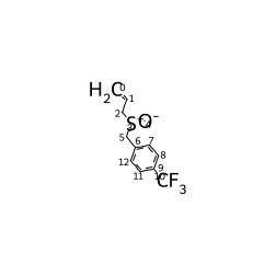 C=CC[S+]([O-])Cc1ccc(C(F)(F)F)cc1